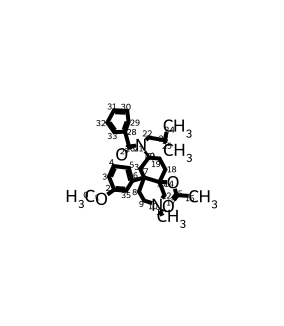 COc1cccc(C23CCN(C)CC2(OC(C)=O)CC[C@H](N(CC(C)C)C(=O)c2ccccc2)C3)c1